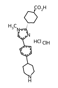 Cl.Cl.Cn1cc(-c2ccc(C3CCNCC3)cc2)nc1[C@H]1CC[C@H](C(=O)O)CC1